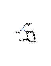 CCOC(=O)N(C)c1ccccc1C#N